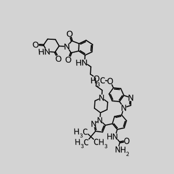 COc1ccc2c(c1)ncn2-c1ccc(NC(N)=O)c(-c2cc(C(C)(C)C)nn2C2CCN(CCOCCNc3cccc4c3C(=O)N(C3CCC(=O)NC3=O)C4=O)CC2)c1